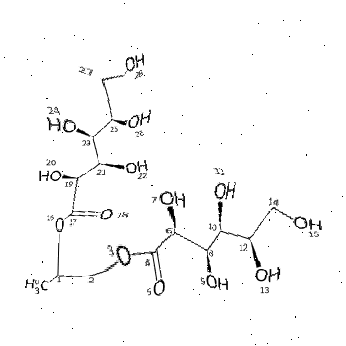 CC(COC(=O)[C@@H](O)[C@H](O)[C@@H](O)[C@H](O)CO)OC(=O)[C@@H](O)[C@H](O)[C@@H](O)[C@H](O)CO